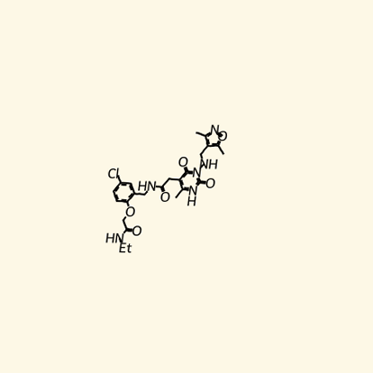 CCNC(=O)COc1ccc(Cl)cc1CNC(=O)Cc1c(C)[nH]c(=O)n(NCc2c(C)noc2C)c1=O